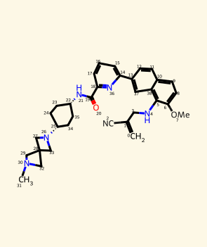 C=C(C#N)CNc1c(OC)ccc2ccc(-c3cccc(C(=O)N[C@H]4CC[C@@H](N5CC6(CN(C)C6)C5)CC4)n3)cc12